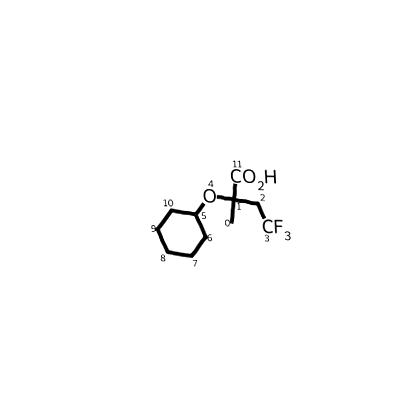 CC(CC(F)(F)F)(OC1CCCCC1)C(=O)O